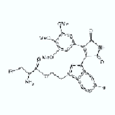 COc1cc(C2=C(c3cn(CCOC(=O)C(N)CC(C)C)c4ccc(F)cc34)C(=O)NC2=O)cc(OC)c1OC